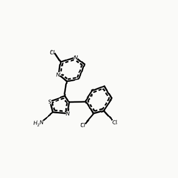 Nc1nc(-c2cccc(Cl)c2Cl)c(-c2ccnc(Cl)n2)s1